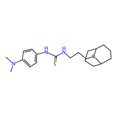 CN(C)c1ccc(NC(=S)NCCCB2C3CCCC2CCC3)cc1